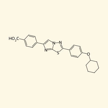 O=C(O)c1ccc(-c2cn3nc(-c4ccc(OC5CCCCC5)cc4)sc3n2)cc1